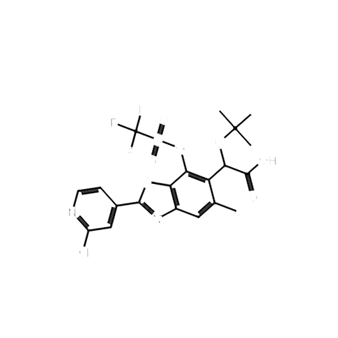 Cc1cc2nc(-c3ccnc(Cl)c3)sc2c(OS(=O)(=O)C(F)(F)F)c1C(OC(C)(C)C)C(=O)O